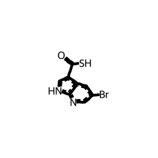 O=C(S)c1c[nH]c2ncc(Br)cc12